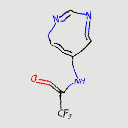 O=C(Nc1cncnc1)C(F)(F)F